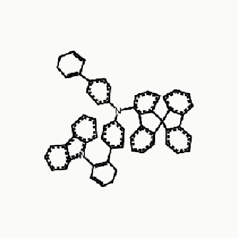 C1=CC(c2ccc(N(c3ccc(C4=C(n5c6ccccc6c6ccccc65)C=CCC4)cc3)c3cccc4c3-c3ccccc3C43c4ccccc4-c4ccccc43)cc2)=CCC1